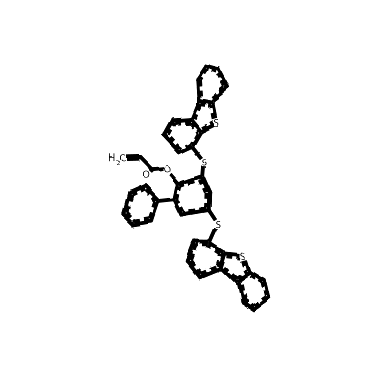 C=CC(=O)Oc1c(Sc2cccc3c2sc2ccccc23)cc(Sc2cccc3c2sc2ccccc23)cc1-c1ccccc1